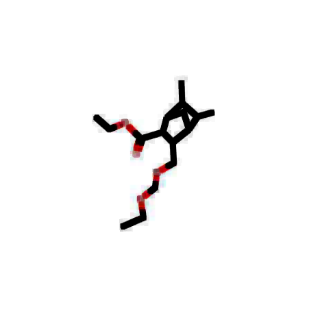 CCOCOCC1C2CC(C(C)C2C)C1C(=O)OCC